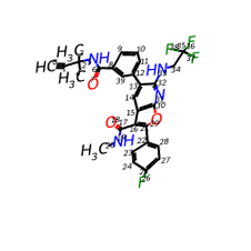 C#CC(C)(C)NC(=O)c1cccc(-c2cc3c(C(=O)NC)c(-c4ccc(F)cc4)oc3nc2NCC(F)(F)F)c1